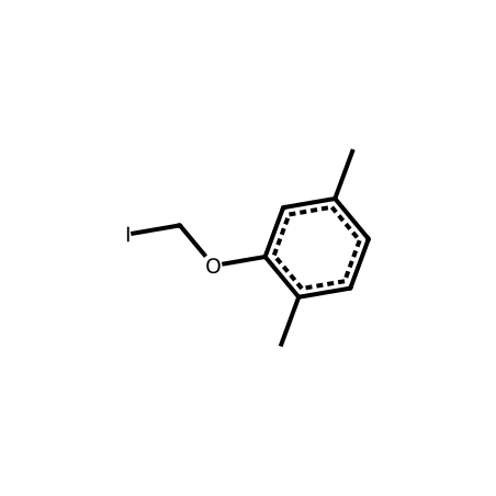 Cc1ccc(C)c(OCI)c1